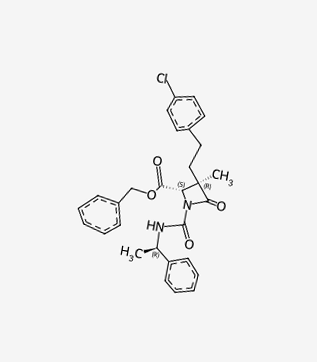 C[C@@H](NC(=O)N1C(=O)[C@](C)(CCc2ccc(Cl)cc2)[C@H]1C(=O)OCc1ccccc1)c1ccccc1